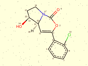 O=C1OC(c2ccccc2Cl)=C[C@H]2[C@@H](O)CCN12